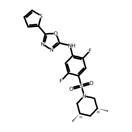 C[C@@H]1C[C@H](C)CN(S(=O)(=O)c2cc(F)c(Nc3nnc(-c4cccs4)o3)cc2F)C1